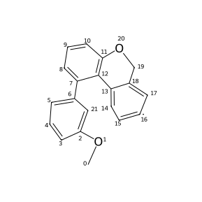 COc1cccc(-c2cccc3c2-c2cc[c]cc2CO3)c1